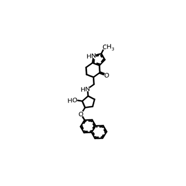 Cc1cc2c([nH]1)CCC(CNC1CCC(Oc3ccc4ccccc4c3)C1O)C2=O